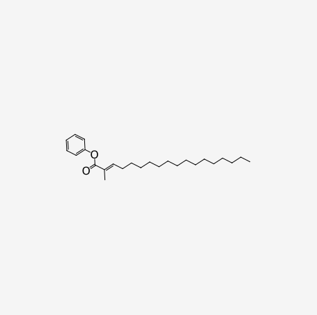 CCCCCCCCCCCCCCCC=C(C)C(=O)Oc1ccccc1